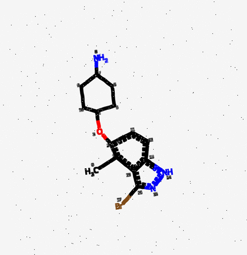 Cc1c(OC2CCC(N)CC2)ccc2[nH]nc(Br)c12